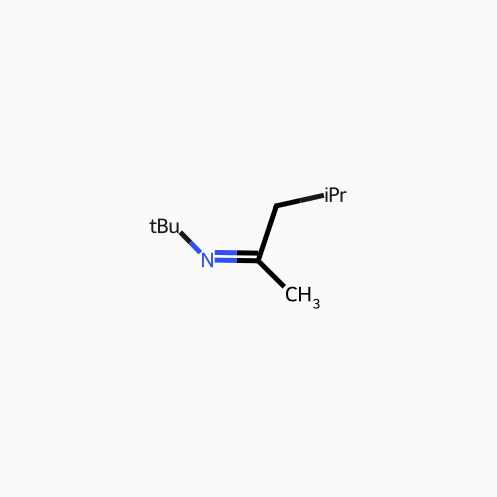 C/C(CC(C)C)=N/C(C)(C)C